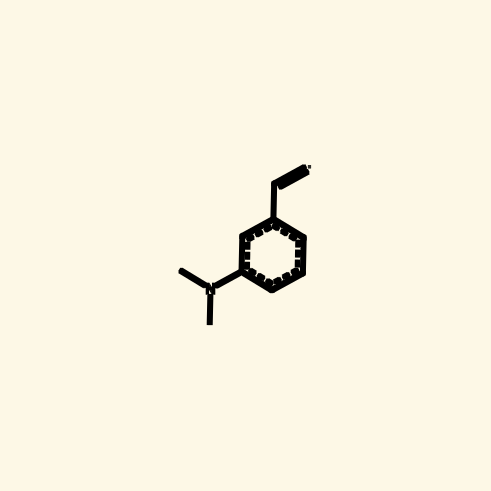 [CH]=Cc1cccc(N(C)C)c1